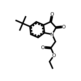 CCOC(=O)CN1C(=O)C(=O)c2cc(C(C)(C)C)ccc21